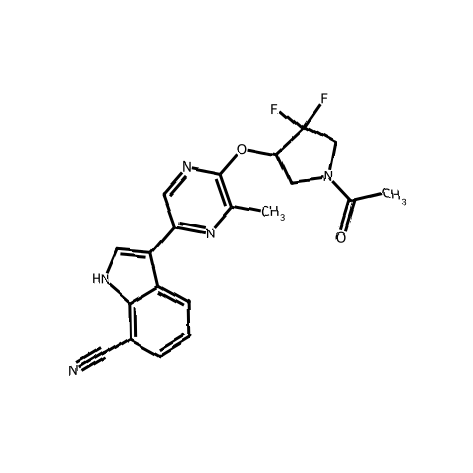 CC(=O)N1CC(Oc2ncc(-c3c[nH]c4c(C#N)cccc34)nc2C)C(F)(F)C1